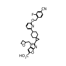 N#Cc1ccc(COc2cccc(C3CCC4(CC3)CC4c3nc4oc(C(=O)O)cc4n3CC3CCO3)n2)c(F)c1